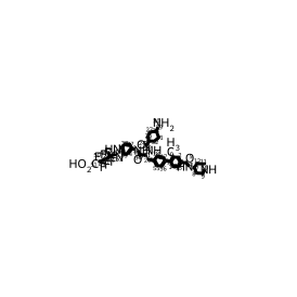 Cc1cc(C(=O)NC2CCNCC2)ccc1-c1ccc(C[C@H](NC(=O)C2CCC(CN)CC2)C(=O)Nc2ccc3[nH]c(C(F)(F)C(F)(F)C(F)(F)C(=O)O)nc3c2)cc1